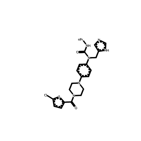 CCCNC(=O)N(Cc1cnc[nH]1)c1ccc(N2CCN(C(=O)c3ccc(Cl)s3)CC2)cc1